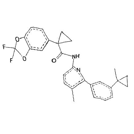 Cc1ccc(NC(=O)C2(c3ccc4c(c3)OC(F)(F)O4)CC2)nc1-c1cccc(C2(C)CC2)c1